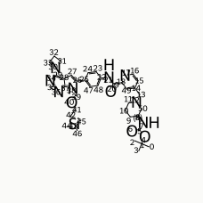 CC(C)(C)OC(=O)N[C@@H]1CCCN(Cc2ccnc(C(=O)Nc3ccc(-c4cc5c(N6CCC6)ncnc5n4COCC[Si](C)(C)C)cc3)c2)C1